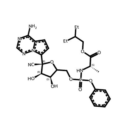 CCC(CC)COC(=O)[C@H](C)NP(=O)(OCC1O[C@@](C#N)(c2ccc3c(N)ncnn23)[C@H](O)[C@@H]1O)Oc1ccccc1